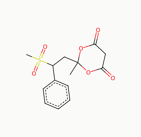 CC1(CC(c2ccccc2)S(C)(=O)=O)OC(=O)CC(=O)O1